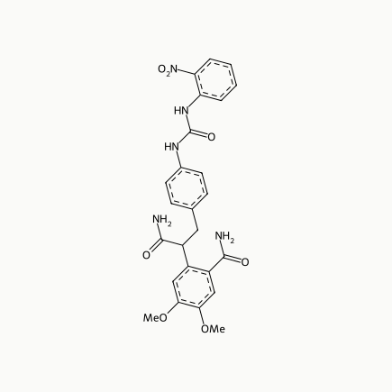 COc1cc(C(N)=O)c(C(Cc2ccc(NC(=O)Nc3ccccc3[N+](=O)[O-])cc2)C(N)=O)cc1OC